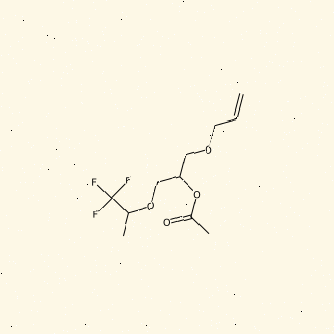 C=CCOCC(COC(C)C(F)(F)F)OC(C)=O